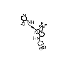 COc1ccncc1NCC#Cc1nc2c(NC3CCS(=O)(=O)CC3)cccn2c1SC(F)(F)F